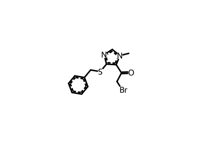 Cn1cnc(SCc2ccccc2)c1C(=O)CBr